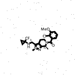 COc1cccc(C(=O)N2CCc3c(nn(C)c3CNC3(C(F)(F)F)CC3)[C@@H]2C)c1Cl